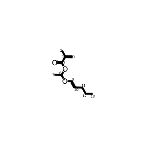 C=C(C)C(=O)OC(C)O/C=C/CCC